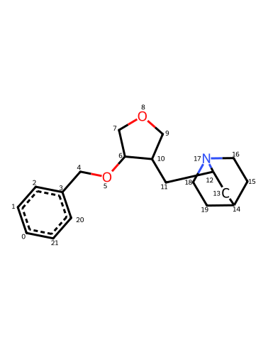 c1ccc(COC2COCC2CC2CC3CCN2CC3)cc1